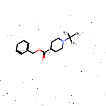 CC(C)(C)N1CCC(C(=O)OCC2=CCCC=C2)CC1